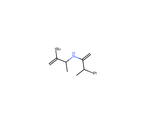 C=C(NC(C)C(=C)C(C)(C)C)C(C)C(C)C